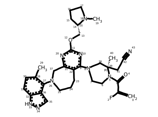 C=C(F)C(=O)N1CCN(c2nc(OC[C@@H]3CCCN3C)nc3c2CCCN(c2c(C)ccc4[nH]ncc24)C3)C[C@@]1(C)CC#N